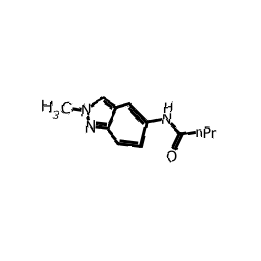 CCCC(=O)Nc1ccc2nn(C)cc2c1